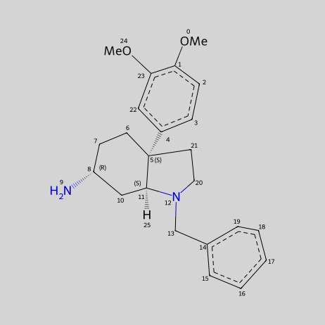 COc1ccc([C@@]23CC[C@@H](N)C[C@@H]2N(Cc2ccccc2)CC3)cc1OC